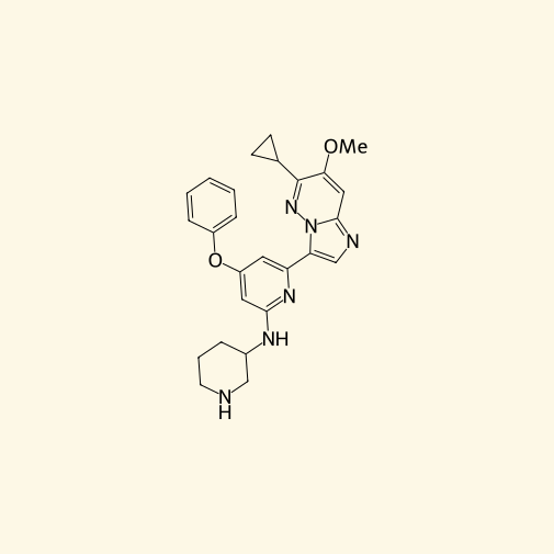 COc1cc2ncc(-c3cc(Oc4ccccc4)cc(NC4CCCNC4)n3)n2nc1C1CC1